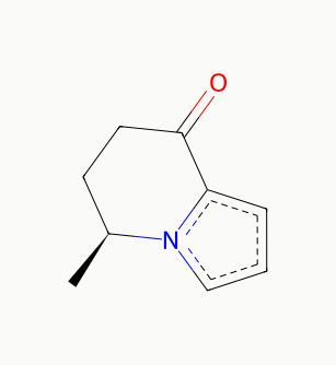 C[C@H]1CCC(=O)c2cccn21